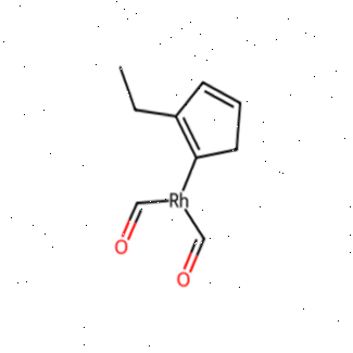 CCC1=[C]([Rh]([CH]=O)[CH]=O)CC=C1